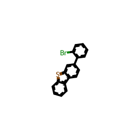 Brc1ccccc1-c1ccc2c(c1)sc1ccccc12